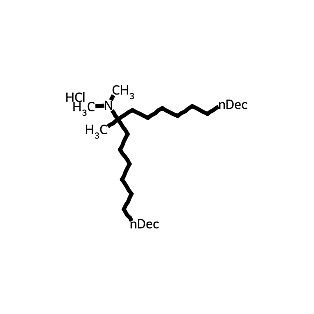 CCCCCCCCCCCCCCCCC(C)(CCCCCCCCCCCCCCCC)N(C)C.Cl